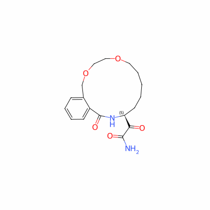 NC(=O)C(=O)[C@@H]1CCCCCOCCOCc2ccccc2C(=O)N1